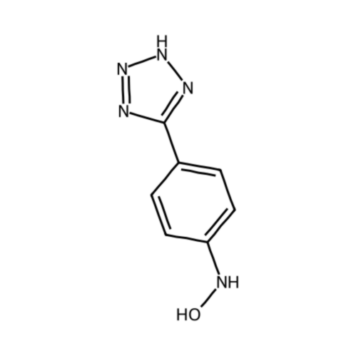 ONc1ccc(-c2nn[nH]n2)cc1